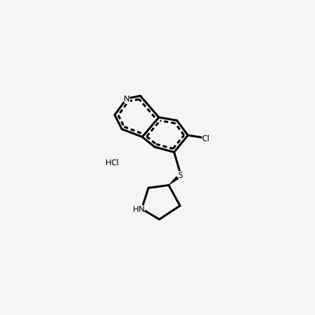 Cl.Clc1cc2cnccc2cc1S[C@H]1CCNC1